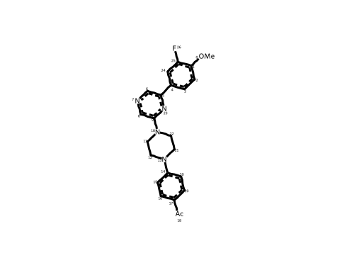 COc1ccc(-c2cncc(N3CCN(c4ccc(C(C)=O)cc4)CC3)n2)cc1F